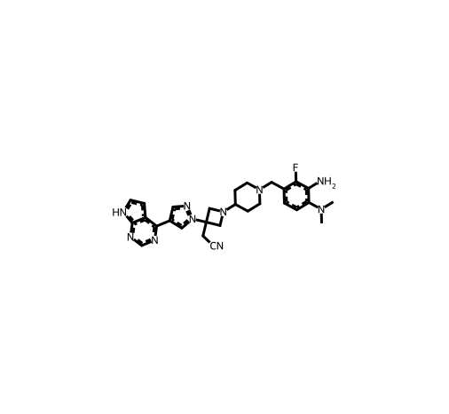 CN(C)c1ccc(CN2CCC(N3CC(CC#N)(n4cc(-c5ncnc6[nH]ccc56)cn4)C3)CC2)c(F)c1N